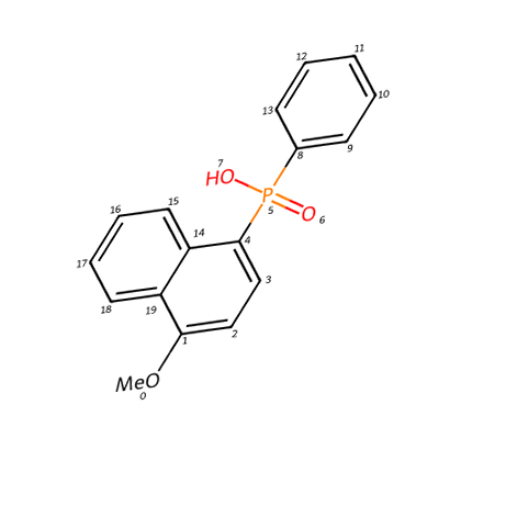 COc1ccc(P(=O)(O)c2ccccc2)c2ccccc12